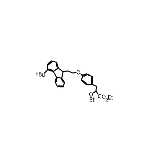 CCCCc1cccc2c1-c1ccccc1C2CCOc1ccc(CC(OCC)C(=O)OCC)cc1